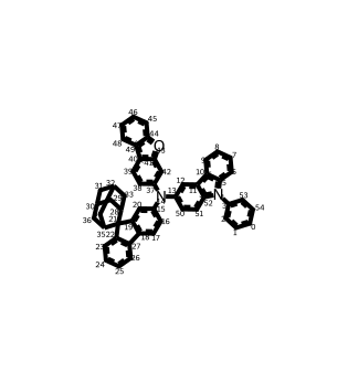 c1ccc(-n2c3ccccc3c3cc(N(c4ccc5c(c4)C4(c6ccccc6-5)C5CC6CC(C5)CC4C6)c4ccc5c(c4)oc4ccccc45)ccc32)cc1